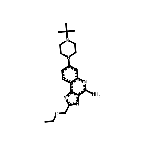 CCOCc1nc2c(N)nc3cc(N4CCN(C(C)(C)C)CC4)ccc3c2s1